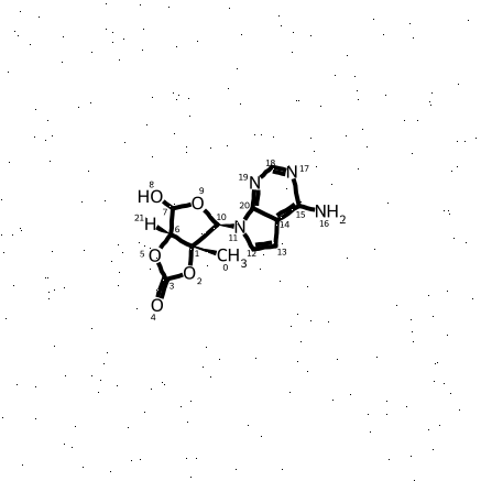 C[C@@]12OC(=O)O[C@@H]1C(O)O[C@H]2n1ccc2c(N)ncnc21